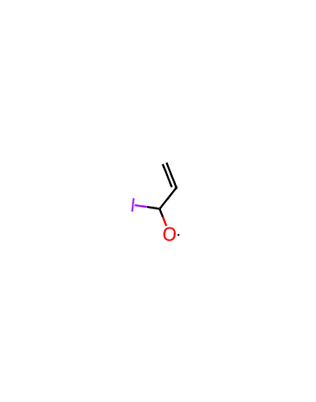 C=CC([O])I